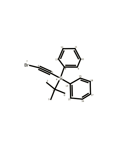 CC(C)(C)[Si](C#CBr)(c1ccccc1)c1ccccc1